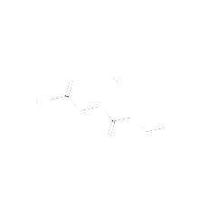 CCOC(=O)CCC(=O)O.[MgH2]